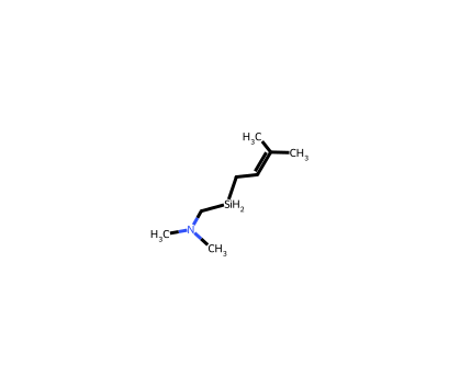 CC(C)=CC[SiH2]CN(C)C